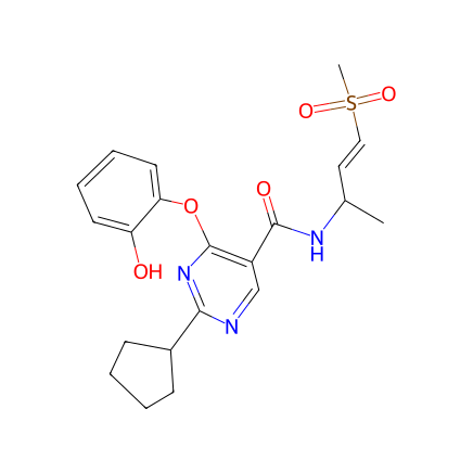 CC(C=CS(C)(=O)=O)NC(=O)c1cnc(C2CCCC2)nc1Oc1ccccc1O